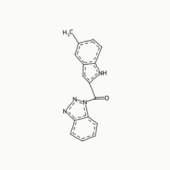 Cc1ccc2[nH]c(C(=O)n3nnc4ccccc43)cc2c1